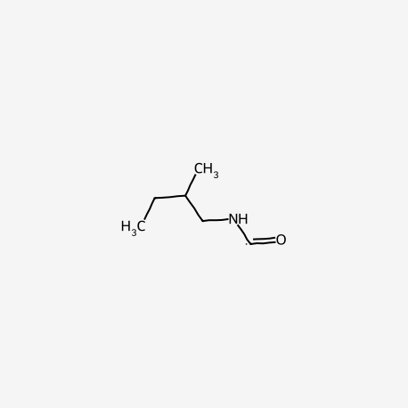 CCC(C)CN[C]=O